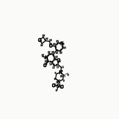 C[C@@H]1CN(S(C)(=O)=O)CCN1Cc1cc2c(=O)n(C)cc(-c3ccncc3OCC3COC3)c2o1